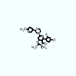 Cc1ccc(C2CN(c3cc4nc(C)n(C)c(=O)c4c(-c4ccc(Cl)cc4F)n3)CCO2)cn1